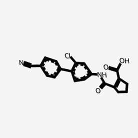 N#Cc1ccc(-c2ccc(NC(=O)C3=C(C(=O)O)CCC3)cc2Cl)cc1